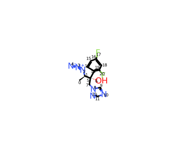 C[C@@H](N=[N+]=[N-])[C@](O)(Cn1cncn1)c1ccc(F)cc1F